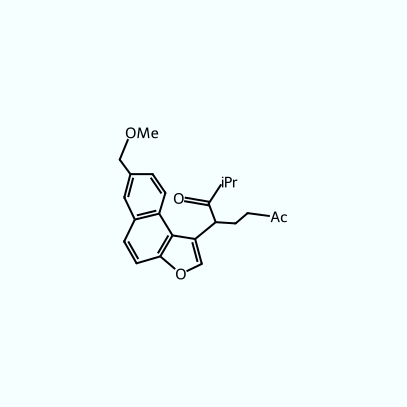 COCc1ccc2c(ccc3occ(C(CCC(C)=O)C(=O)C(C)C)c32)c1